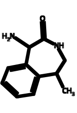 CC1CNC(=O)C(N)c2ccccc21